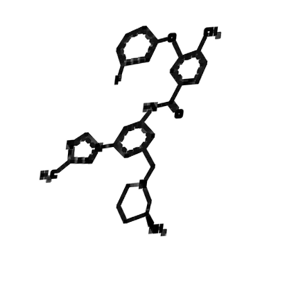 Cc1cn(-c2cc(CN3CCC[C@H](N)C3)cc(NC(=O)c3ccc(C)c(Oc4cccc(F)c4)c3)c2)cn1